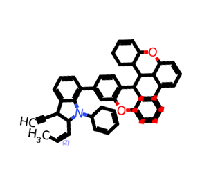 C#CC1c2cccc(-c3ccc4c(c3)Oc3ccccc3C4C3C4CCC=CC4OC4C=CC=C(C5=CC=CCC5)C43)c2N(C2C=CC=CC2)C1/C=C\C